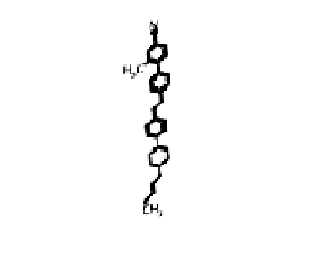 CCCCC[C@H]1CC[C@H](c2ccc(CCc3ccc(-c4ccc(C#N)cc4C)cc3)cc2)CC1